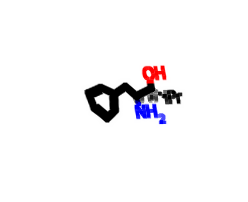 CC(C)[C@@H](O)[C@@H](N)Cc1ccccc1